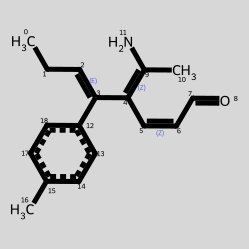 CC/C=C(C(/C=C\C=O)=C(/C)N)\c1ccc(C)cc1